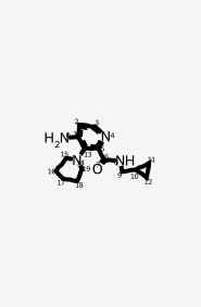 Nc1ccnc(C(=O)NCC2CC2)c1N1CCCCC1